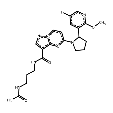 COc1ncc(F)cc1C1CCCN1c1ccn2ncc(C(=O)NCCCNC(=O)O)c2n1